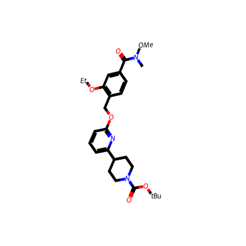 CCOc1cc(C(=O)N(C)OC)ccc1COc1cccc(C2CCN(C(=O)OC(C)(C)C)CC2)n1